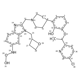 CC(Oc1cccc(C2CCN(Cc3nc4ccc(NOO)cc4n3CC3CCO3)CC2)c1O)c1ccc(Cl)cn1